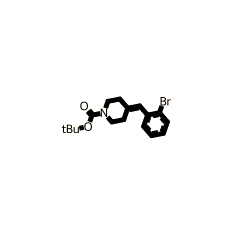 CC(C)(C)OC(=O)N1CCC(=Cc2ccccc2Br)CC1